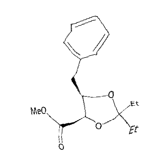 CCC1(CC)O[C@H](Cc2ccccc2)[C@H](C(=O)OC)O1